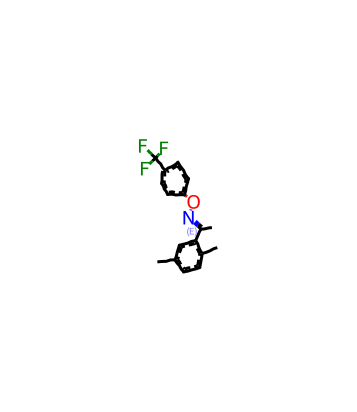 C/C(=N\Oc1ccc(C(F)(F)F)cc1)c1cc(C)ccc1C